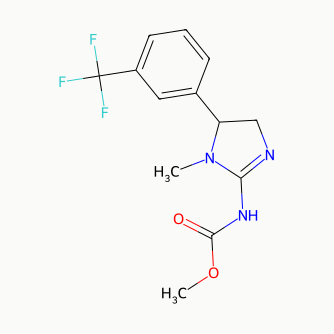 COC(=O)NC1=NCC(c2cccc(C(F)(F)F)c2)N1C